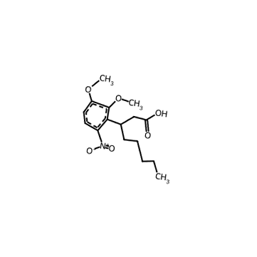 CCCCCC(CC(=O)O)c1c([N+](=O)[O-])ccc(OC)c1OC